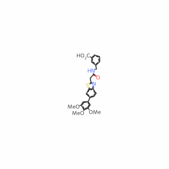 COc1cc(-c2ccc3nc(CC(=O)NCc4cccc(C(=O)O)c4)sc3c2)cc(OC)c1OC